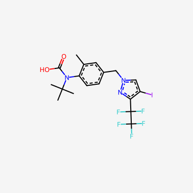 Cc1cc(Cn2cc(I)c(C(F)(F)C(F)(F)F)n2)ccc1N(C(=O)O)C(C)(C)C